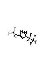 FC(F)OC1=CC(C(F)(F)C(F)(F)F)=N[N]1